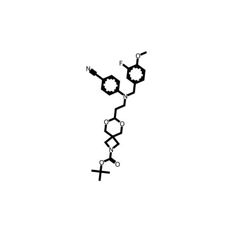 COc1ccc(CN(CCC2OCC3(CO2)CN(C(=O)OC(C)(C)C)C3)c2ccc(C#N)cc2)cc1F